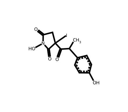 CC(C(=O)C1(I)CC(=O)N(O)C1=O)c1ccc(O)cc1